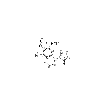 COc1ccc2c(c1Br)CCCC2C1=NCCN1.Cl